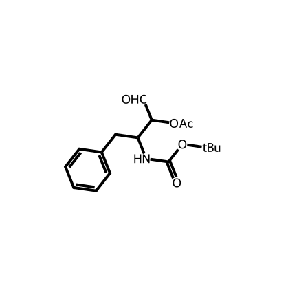 CC(=O)OC(C=O)C(Cc1ccccc1)NC(=O)OC(C)(C)C